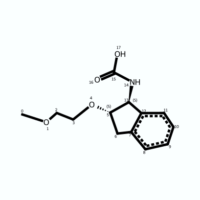 COCCO[C@H]1Cc2ccccc2[C@@H]1NC(=O)O